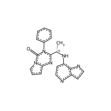 C[C@H](Nc1ccnc2ccnn12)c1nc2cccn2c(=O)n1-c1ccccc1